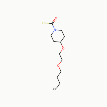 CC(C)CCCOCCOC1CCN(C(=O)S)CC1